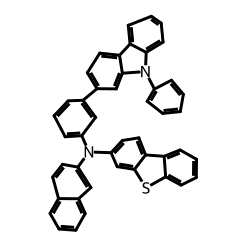 c1ccc(-n2c3ccccc3c3ccc(-c4cccc(N(c5ccc6ccccc6c5)c5ccc6c(c5)sc5ccccc56)c4)cc32)cc1